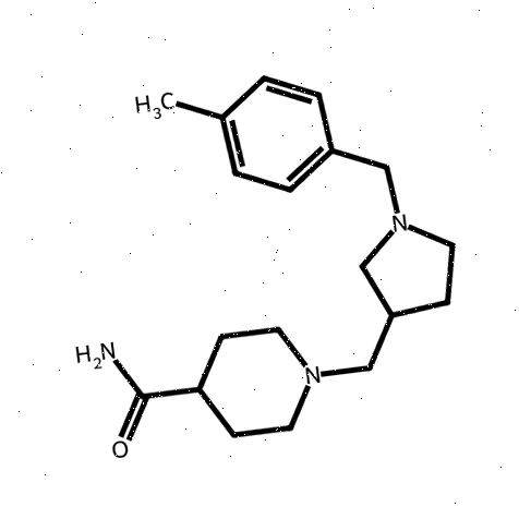 Cc1ccc(CN2CCC(CN3CCC(C(N)=O)CC3)C2)cc1